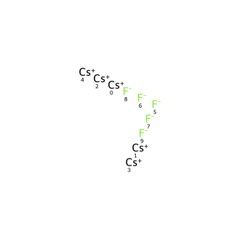 [Cs+].[Cs+].[Cs+].[Cs+].[Cs+].[F-].[F-].[F-].[F-].[F-]